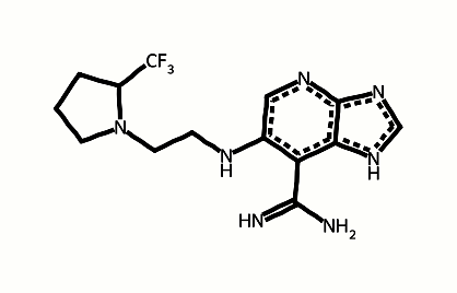 N=C(N)c1c(NCCN2CCCC2C(F)(F)F)cnc2nc[nH]c12